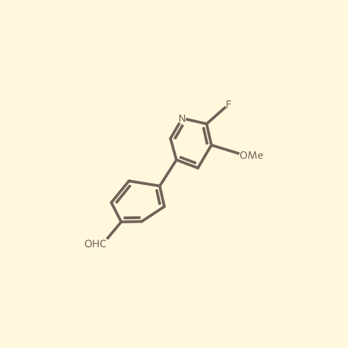 COc1cc(-c2ccc(C=O)cc2)cnc1F